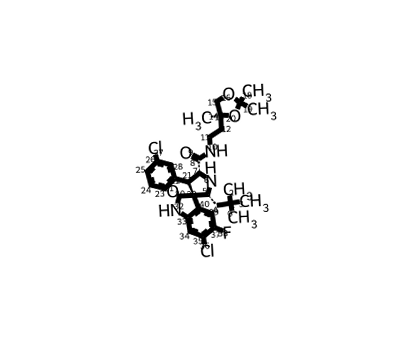 CC(C)(C)C[C@H]1N[C@@H](C(=O)NCC[C@@]2(C)COC(C)(C)O2)C(c2cccc(Cl)c2)[C@@]12C(=O)Nc1cc(Cl)c(F)cc12